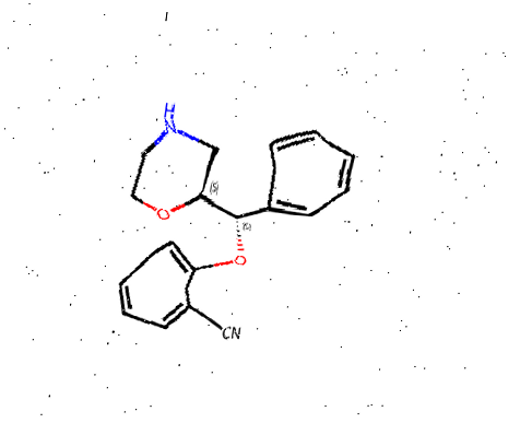 N#Cc1ccccc1O[C@@H](c1ccccc1)[C@@H]1CNCCO1